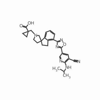 CC(C)Nc1ncc(-c2nc(-c3cccc4c3CCC43CCN(CC4(C(=O)O)CC4)C3)no2)cc1C#N